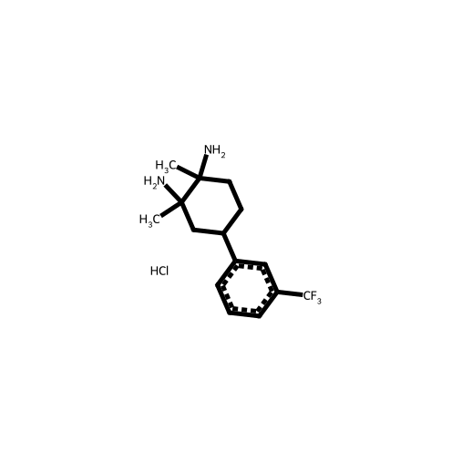 CC1(N)CCC(c2cccc(C(F)(F)F)c2)CC1(C)N.Cl